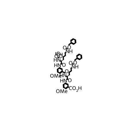 COc1ccc(NC(=O)[C@H](CCCCNC(=O)OCc2ccccc2)NC(=O)c2cc(NC(=O)[C@H](CCCCNC(=O)OCc3ccccc3)NC(=O)OC(C)(C)C)ccc2OC)cc1C(=O)O